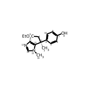 CCOC(=O)C[C@@](C)(c1ccc(O)cc1)c1cncn1C